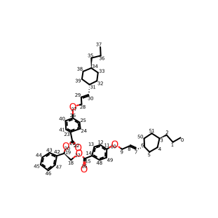 CCC[C@H]1CC[C@H](/C=C/COc2ccc(C(=O)OC[C@H](OC(=O)c3ccc(OC/C=C/[C@H]4CC[C@H](CCC)CC4)cc3)c3ccccc3)cc2)CC1